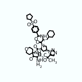 CC(C)(O)c1cnnn1[C@H]1C[C@@H](C(=O)NC2(C(=O)C(N)=O)CCOCC2)N(C(=O)[C@@H](CC2CCCCC2)NC(=O)c2ccc(S(=O)(=O)C3CCCC3)cc2)C1